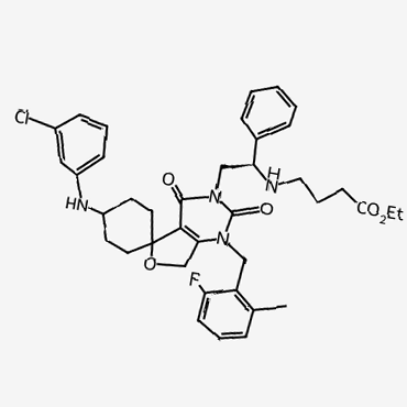 CCOC(=O)CCCN[C@@H](Cn1c(=O)c2c(n(Cc3c(C)cccc3F)c1=O)COC21CCC(Nc2cccc(Cl)c2)CC1)c1ccccc1